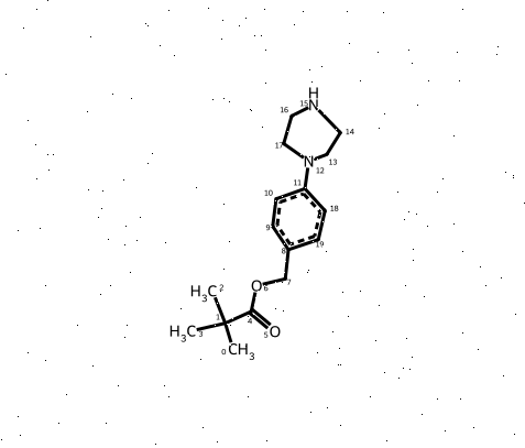 CC(C)(C)C(=O)OCc1ccc(N2CCNCC2)cc1